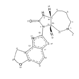 CN1CCC[C@H]2NC(=O)N(c3nc4c5c(ccc4s3)OCC5)[C@H]2C1